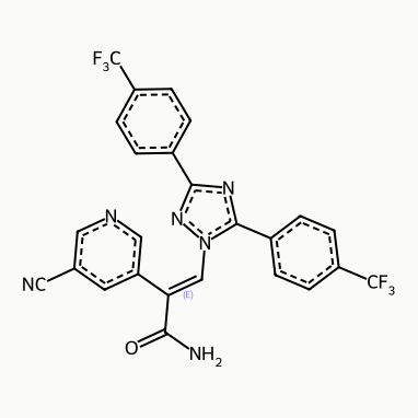 N#Cc1cncc(/C(=C\n2nc(-c3ccc(C(F)(F)F)cc3)nc2-c2ccc(C(F)(F)F)cc2)C(N)=O)c1